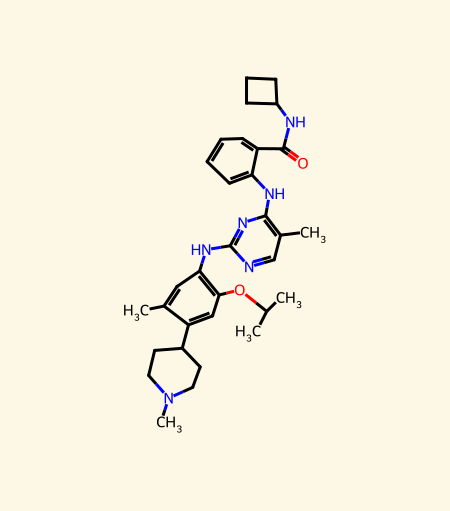 Cc1cc(Nc2ncc(C)c(Nc3ccccc3C(=O)NC3CCC3)n2)c(OC(C)C)cc1C1CCN(C)CC1